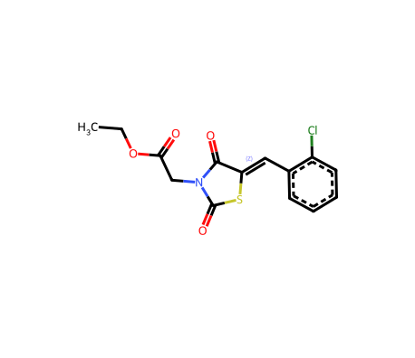 CCOC(=O)CN1C(=O)S/C(=C\c2ccccc2Cl)C1=O